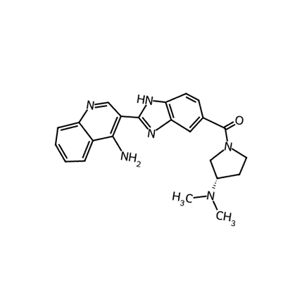 CN(C)[C@H]1CCN(C(=O)c2ccc3[nH]c(-c4cnc5ccccc5c4N)nc3c2)C1